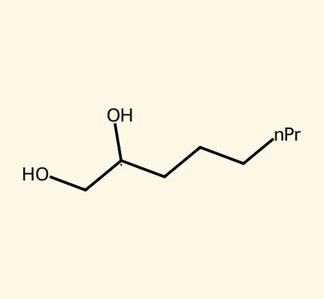 CCCCCC[C](O)CO